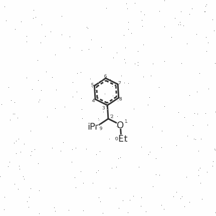 CCOC(c1ccccc1)C(C)C